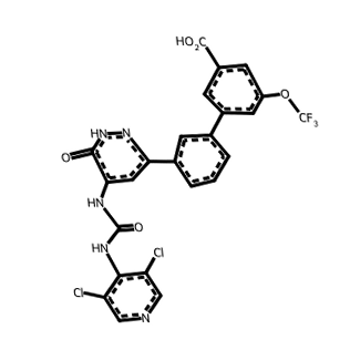 O=C(Nc1c(Cl)cncc1Cl)Nc1cc(-c2cccc(-c3cc(OC(F)(F)F)cc(C(=O)O)c3)c2)n[nH]c1=O